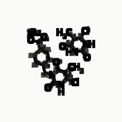 Cc1c(Cl)[nH]c(=O)[nH]c1=O.Cc1c(Cl)[nH]c(=O)n(Cc2ccc(C(=O)OC(C)(C)C)cc2)c1=O